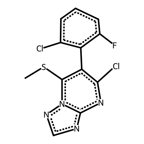 CSc1c(-c2c(F)cccc2Cl)c(Cl)nc2ncnn12